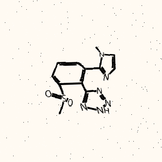 Cn1ccnc1-c1cccc(S(C)(=O)=O)c1-c1nn[nH]n1